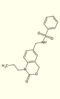 CCCN1C(=O)OCc2cc(CNS(=O)(=O)c3ccccc3)ccc21